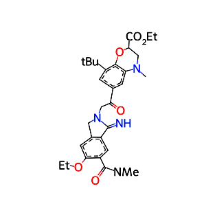 CCOC(=O)C1CN(C)c2cc(C(=O)CN3Cc4cc(OCC)c(C(=O)NC)cc4C3=N)cc(C(C)(C)C)c2O1